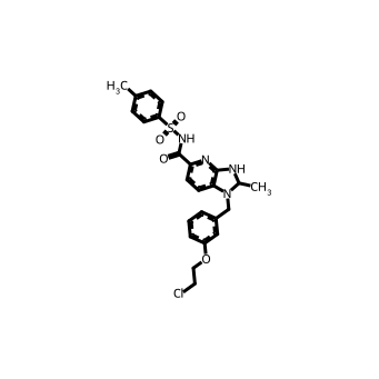 Cc1ccc(S(=O)(=O)NC(=O)c2ccc3c(n2)NC(C)N3Cc2cccc(OCCCl)c2)cc1